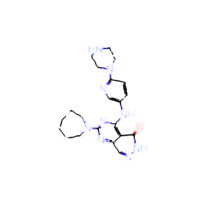 O=c1[nH]ncc2nc(N3CCCCCC3)nc(Nc3ccc(N4CCNCC4)nc3)c12